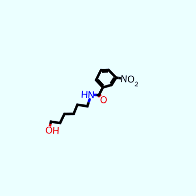 O=C(NCCCCCCO)c1cccc([N+](=O)[O-])c1